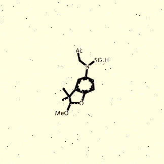 COC1Oc2ccc(N(CC(C)=O)S(=O)(=O)O)cc2C1(C)C